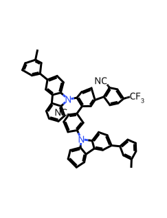 Cc1cccc(-c2ccc3c(c2)c2ccccc2n3-c2ccc(C#N)c(-c3cc(-c4ccc(C(F)(F)F)cc4C#N)ccc3-n3c4ccccc4c4cc(-c5cccc(C)c5)ccc43)c2)c1